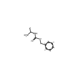 CC(N)NC(=O)OCc1ccccc1